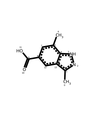 Cc1n[nH]c2c(C)cc(C(=O)O)cc12